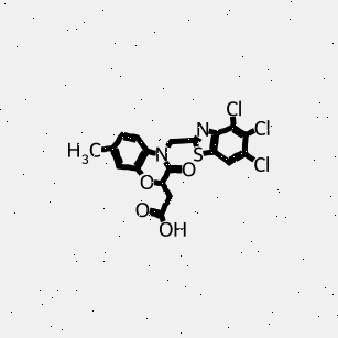 Cc1ccc2c(c1)OC(CC(=O)O)C(=O)N2Cc1nc2c(Cl)c(Cl)c(Cl)cc2s1